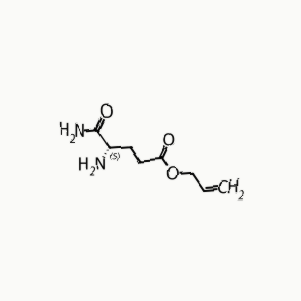 C=CCOC(=O)CC[C@H](N)C(N)=O